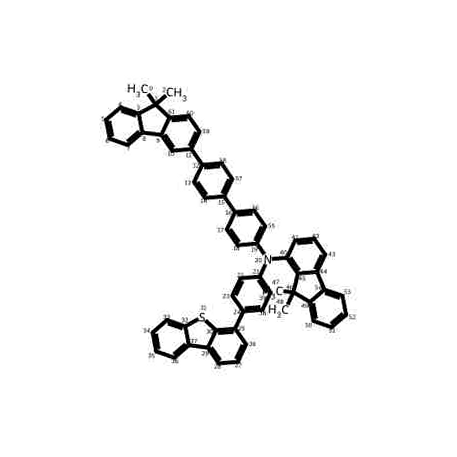 CC1(C)c2ccccc2-c2cc(-c3ccc(-c4ccc(N(c5ccc(-c6cccc7c6sc6ccccc67)cc5)c5cccc6c5C(C)(C)c5ccccc5-6)cc4)cc3)ccc21